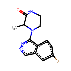 CC1C(=O)NCCN1c1nncc2cc(Br)ccc12